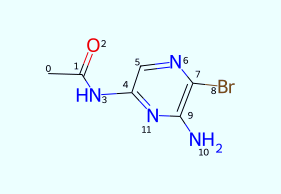 CC(=O)Nc1cnc(Br)c(N)n1